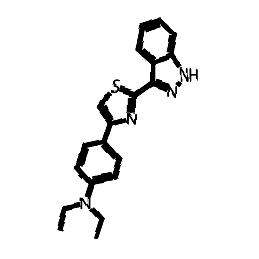 CCN(CC)c1ccc(-c2csc(-c3n[nH]c4ccccc34)n2)cc1